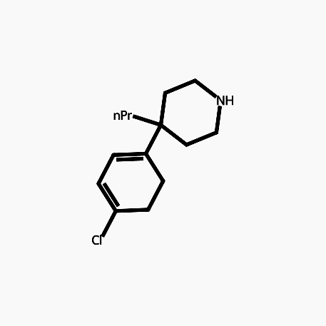 CCCC1(C2=CC=C(Cl)CC2)CCNCC1